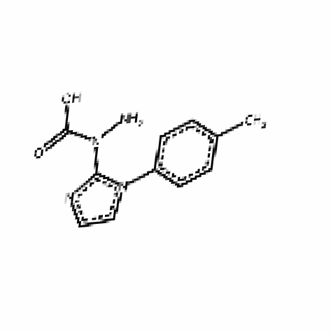 Cc1ccc(-n2ccnc2N(N)C(=O)O)cc1